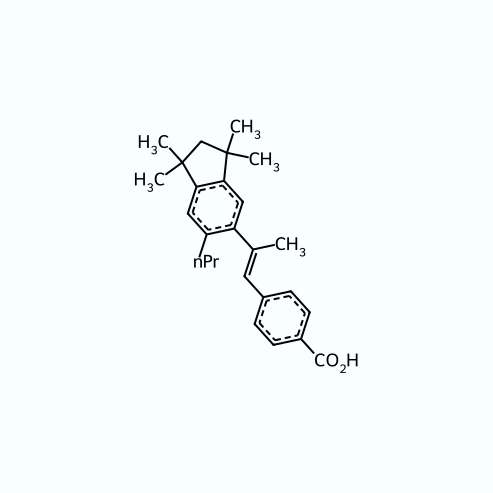 CCCc1cc2c(cc1C(C)=Cc1ccc(C(=O)O)cc1)C(C)(C)CC2(C)C